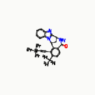 [2H]C([2H])([2H])c1ccc2c(c1C#C[Si](C(C)C)(C(C)C)C(C)C)C1CC(NC2=O)c2nc3ccccc3n21